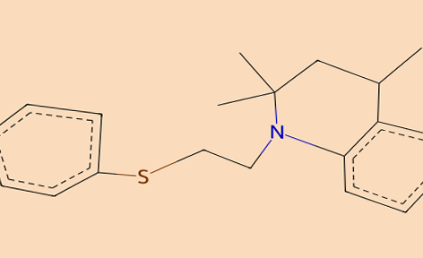 CC1CC(C)(C)N(CCSc2ccccc2)c2ccccc21